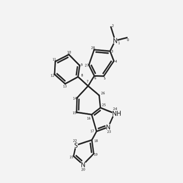 CN(C)c1ccc(C2(c3ccccc3)C=Cc3c(-c4cncs4)n[nH]c3C2)cc1